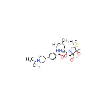 CS[C@H]1CN(C(=O)[C@H](CC(C)C)NC(=O)c2ccc(C3CCN(C(C)C)CC3)cc2)[C@@H]2C(=O)CO[C@H]12